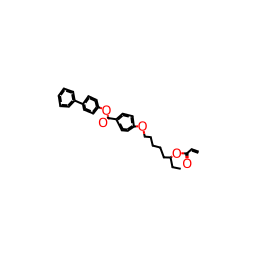 C=CC(=O)OC(CC)CCCCCOc1ccc(C(=O)Oc2ccc(-c3ccccc3)cc2)cc1